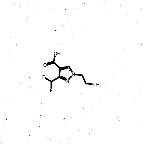 CCCn1cc(C(=O)O)c(C(F)F)n1